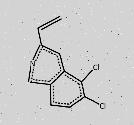 C=Cc1cc2c(Cl)c(Cl)ccc2cn1